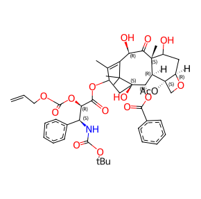 C=CCOC(=O)O[C@@H](C(=O)OC1C[C@@]2(O)[C@@H](OC(=O)c3ccccc3)[C@@H]3[C@]4(OC(C)=O)CO[C@@H]4CC(O)[C@@]3(C)C(=O)[C@H](O)C(=C1C)C2(C)C)[C@@H](NC(=O)OC(C)(C)C)c1ccccc1